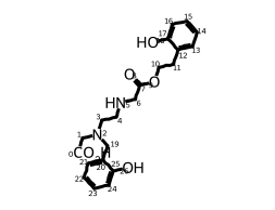 O=C(O)CN(CCNCC(=O)OCCc1ccccc1O)Cc1ccccc1O